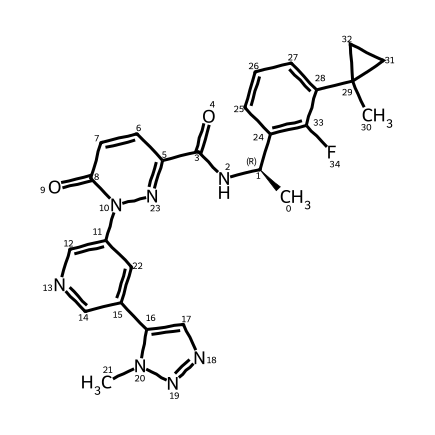 C[C@@H](NC(=O)c1ccc(=O)n(-c2cncc(-c3cnnn3C)c2)n1)c1cccc(C2(C)CC2)c1F